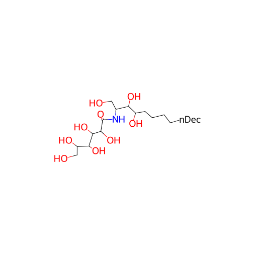 CCCCCCCCCCCCCCC(O)C(O)C(CO)NC(=O)C(O)C(O)C(O)C(O)CO